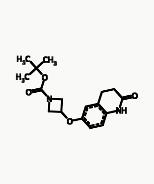 CC(C)(C)OC(=O)N1CC(Oc2ccc3c(c2)CCC(=O)N3)C1